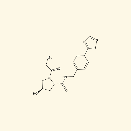 CC(C)(C)CC(=O)N1C[C@H](O)C[C@H]1C(=O)NCc1ccc(-c2ncns2)cc1